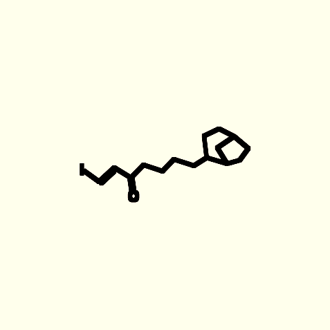 O=C(C=CI)CCCCC1CCC2CCC1C2